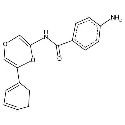 Nc1ccc(C(=O)NC2=COC=C(C3=CC=CCC3)O2)cc1